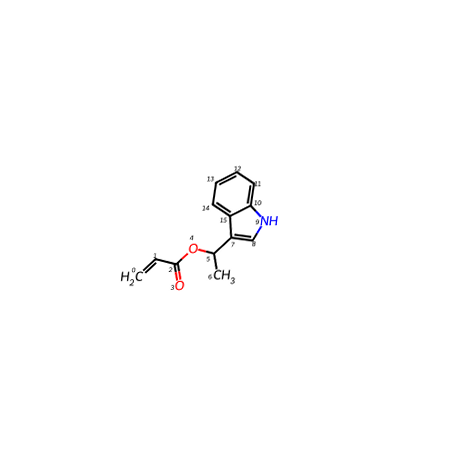 C=CC(=O)OC(C)c1c[nH]c2ccccc12